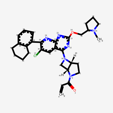 C=CC(=O)N1CC[C@@H]2[C@H]1CN2c1nc(OCC2CCCN2C)nc2nc(-c3cccc4c3CCCC4)c(Cl)cc12